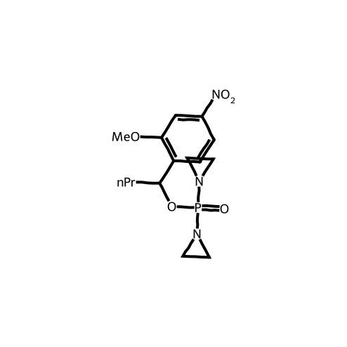 CCCC(OP(=O)(N1CC1)N1CC1)c1ccc([N+](=O)[O-])cc1OC